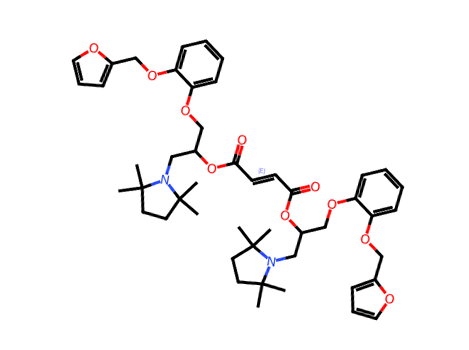 CC1(C)CCC(C)(C)N1CC(COc1ccccc1OCc1ccco1)OC(=O)/C=C/C(=O)OC(COc1ccccc1OCc1ccco1)CN1C(C)(C)CCC1(C)C